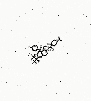 CC(=O)N1CCC(O)(C(=O)N2CC[C@]3(S(=O)(=O)c4ccc(F)cc4)c4ccc(C(F)(C(F)(F)F)C(F)(F)F)cc4CC[C@H]23)CC1